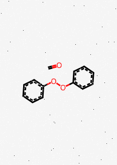 C=O.c1ccc(OOc2ccccc2)cc1